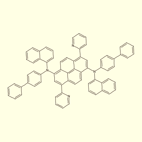 c1ccc(-c2ccc(N(c3cccc4ccccc34)c3cc(-c4ccccn4)c4ccc5c(N(c6ccc(-c7ccccc7)cc6)c6cccc7ccccc67)cc(-c6ccccn6)c6ccc3c4c65)cc2)cc1